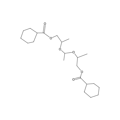 CC(COC(=O)C1CCCCC1)OC(C)OC(C)COC(=O)C1CCCCC1